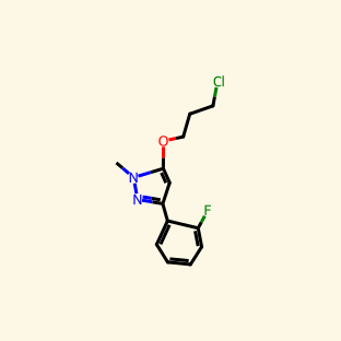 Cn1nc(-c2ccccc2F)cc1OCCCCl